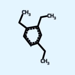 CCc1[c]cc(CC)c(CC)c1